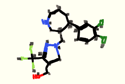 OCc1cn(C[C@@H]2CNCCC[C@H]2c2ccc(Cl)c(Cl)c2)nc1C(F)(F)F